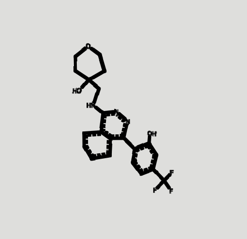 Oc1cc(C(F)(F)F)ccc1-c1nnc(NCC2(O)CCOCC2)c2ccccc12